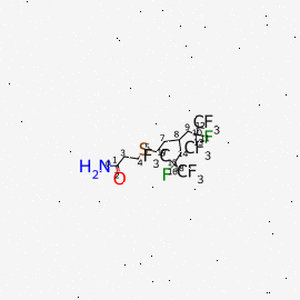 NC(=O)CCSCCC(CC(F)(C(F)(F)F)C(F)(F)F)CC(F)(C(F)(F)F)C(F)(F)F